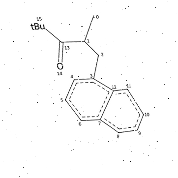 [CH2]C(Cc1cccc2ccccc12)C(=O)C(C)(C)C